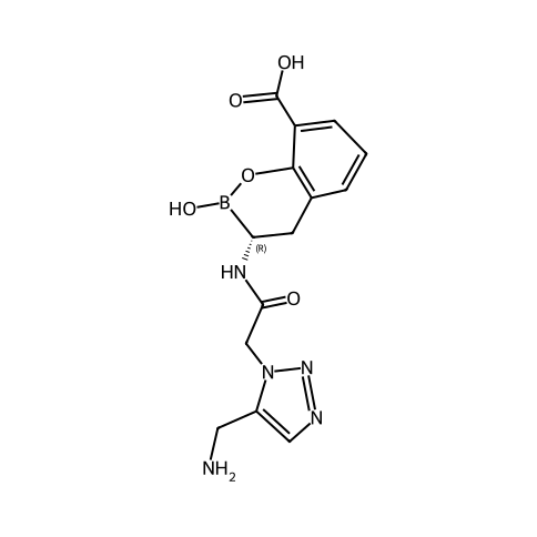 NCc1cnnn1CC(=O)N[C@H]1Cc2cccc(C(=O)O)c2OB1O